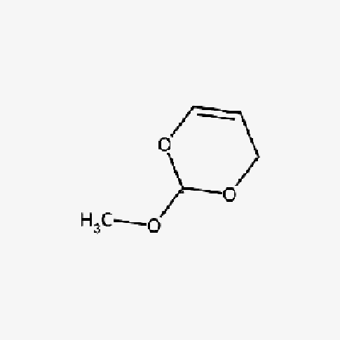 CO[C]1OC=CCO1